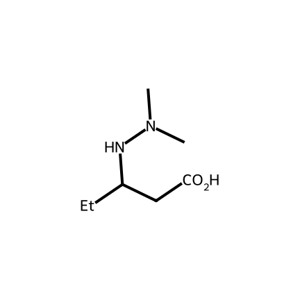 CCC(CC(=O)O)NN(C)C